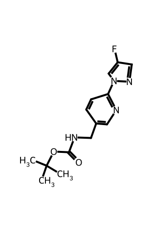 CC(C)(C)OC(=O)NCc1ccc(-n2cc(F)cn2)nc1